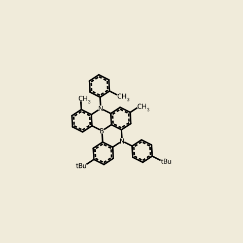 Cc1cc2c3c(c1)N(c1ccccc1C)c1c(C)cccc1B3c1cc(C(C)(C)C)ccc1N2c1ccc(C(C)(C)C)cc1